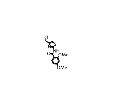 COc1ccc(C(=O)Nc2nc(CCl)cs2)c(OC)c1